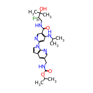 CC(C)Nc1cc(-n2ccc3cc(CNC(=O)OC(C)C)cnc32)ncc1C(=O)NC[C@@H](F)C(C)(C)O